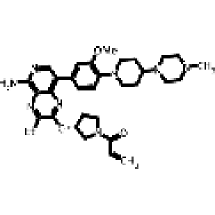 C=CC(=O)N1CC[C@@H](Oc2nc3c(-c4ccc(N5CCC(N6CCN(C)CC6)CC5)c(OC)c4)cnc(N)c3nc2CC)C1